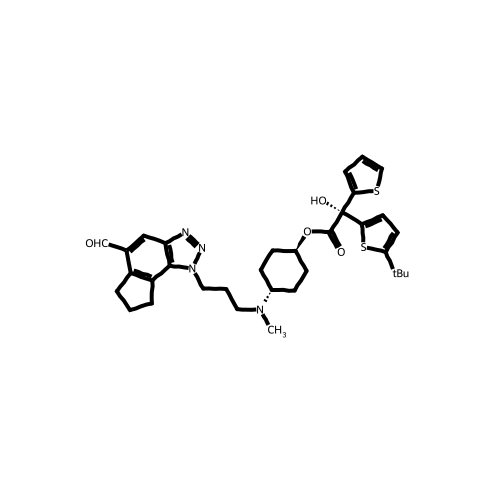 CN(CCCn1nnc2cc(C=O)c3c(c21)CCC3)[C@H]1CC[C@H](OC(=O)[C@@](O)(c2cccs2)c2ccc(C(C)(C)C)s2)CC1